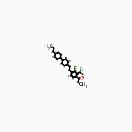 CCCC1CCC(C2CCC(CCc3ccc(C(=O)CC)c(C(F)F)c3F)CC2)CC1